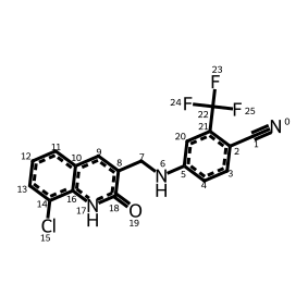 N#Cc1ccc(NCc2cc3cccc(Cl)c3[nH]c2=O)cc1C(F)(F)F